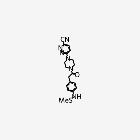 CSNc1ccc(CC(=O)N2CCN(c3ccc(C#N)nn3)CC2)cc1